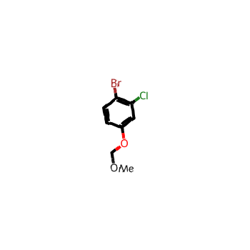 COCOc1ccc(Br)c(Cl)c1